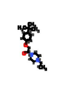 CCN1CCN(C(=O)COc2ccc(C(C)(C)C)cc2)CC1